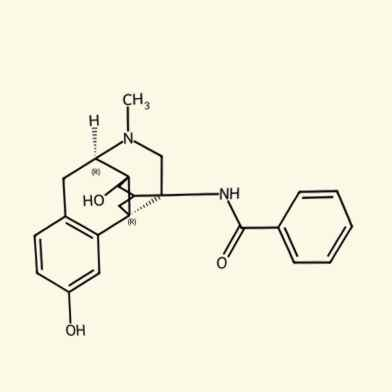 CN1CC[C@]23CC(NC(=O)c4ccccc4)CC2(O)[C@H]1Cc1ccc(O)cc13